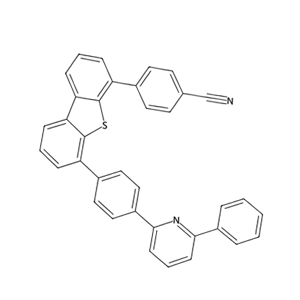 N#Cc1ccc(-c2cccc3c2sc2c(-c4ccc(-c5cccc(-c6ccccc6)n5)cc4)cccc23)cc1